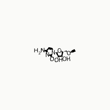 C#COC[C@H]1O[C@@H](n2ccc(N)nc2=O)[C@H](O)[C@@H]1O